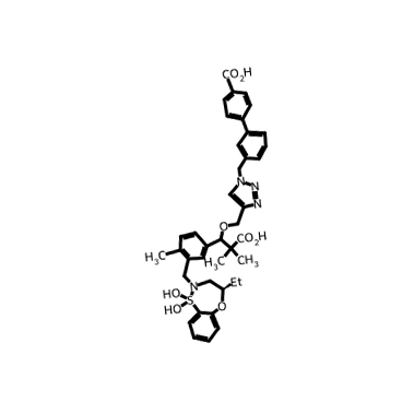 CC[C@@H]1CN(Cc2cc(C(OCc3cn(Cc4cccc(-c5ccc(C(=O)O)cc5)c4)nn3)C(C)(C)C(=O)O)ccc2C)S(O)(O)c2ccccc2O1